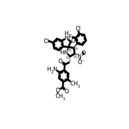 COC(=O)c1cc(N)c(C(=O)C[C@@H]2N[C@@]3(C(=O)Nc4cc(Cl)ccc43)[C@@H](c3cccc(Cl)c3F)[C@@H]2[N+](=O)[O-])cc1C